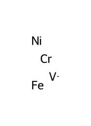 [Cr].[Fe].[Ni].[V]